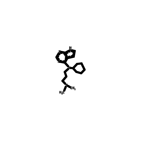 CN(C)CCCN(c1ncnc2[nH]ccc12)C1CCCCC1